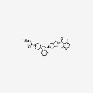 Cc1ccnc(C)c1C(=O)N1CC2CN(CCC3(c4ccccc4)CCN(C(=O)CC(C)(C)C)CC3)CC2C1